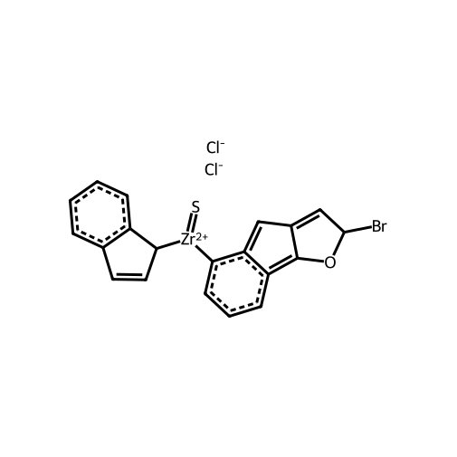 [Cl-].[Cl-].[S]=[Zr+2]([c]1cccc2c1=CC1=CC(Br)OC=21)[CH]1C=Cc2ccccc21